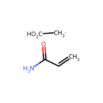 C=CC(N)=O.[CH2]C(=O)O